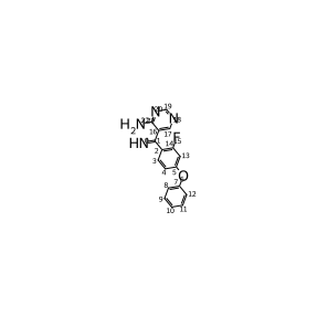 N=C(c1ccc(Oc2ccccc2)cc1F)c1cncnc1N